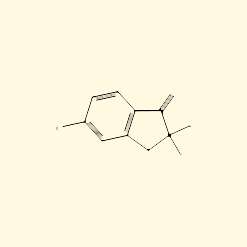 O=C1c2ccc(Br)cc2CC1(F)I